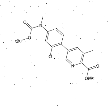 COC(=O)c1ncc(-c2ccc(N(C)C(=O)OC(C)(C)C)cc2Cl)cc1C